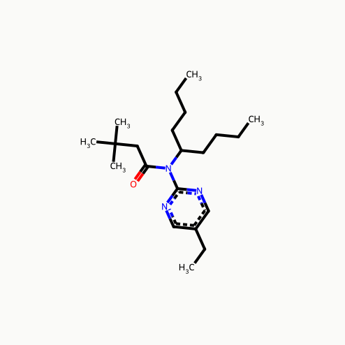 CCCCC(CCCC)N(C(=O)CC(C)(C)C)c1ncc(CC)cn1